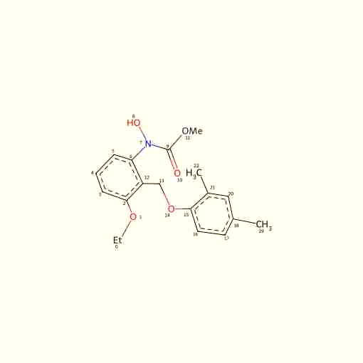 CCOc1cccc(N(O)C(=O)OC)c1COc1ccc(C)cc1C